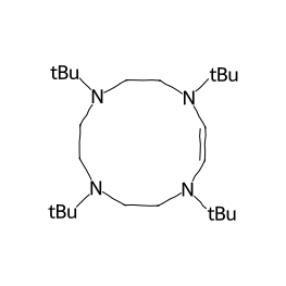 CC(C)(C)N1/C=C\N(C(C)(C)C)CCN(C(C)(C)C)CCN(C(C)(C)C)CC1